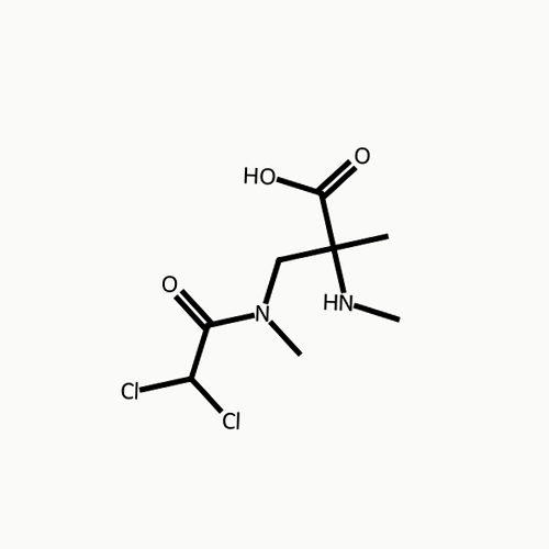 CNC(C)(CN(C)C(=O)C(Cl)Cl)C(=O)O